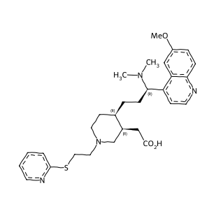 COc1ccc2nccc([C@@H](CC[C@@H]3CCN(CCSc4ccccn4)C[C@@H]3CC(=O)O)N(C)C)c2c1